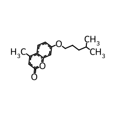 Cc1cc(=O)oc2cc(OCCCC(C)C)ccc12